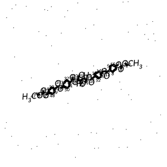 CCOC(=O)Oc1ccc(C(=O)Oc2ccc(C(=O)O[C@@H]3CO[C@@H]4[C@H]3OC[C@H]4OC(=O)c3ccc(OC(=O)c4ccc(OC(=O)OCC)cc4)cc3)cc2)cc1